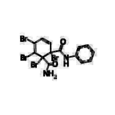 NC(=O)C1(Br)C(Br)=C(Br)C=CC1(Br)C(=O)Nc1ccccc1